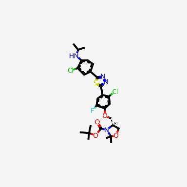 CC(C)Nc1ccc(-c2nnc(-c3cc(F)c(OC[C@@H]4COC(C)(C)N4C(=O)OC(C)(C)C)cc3Cl)s2)cc1Cl